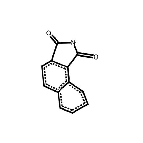 O=C1[N]C(=O)c2c1ccc1ccccc21